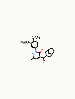 COc1ccc(-n2nc(C)cc(C(=O)C3CC4CCC(C4)C3)c2=O)cc1OC